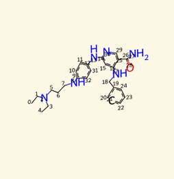 CCN(CC)CCCNc1ccc(Nc2cc(NCc3ccccc3)c(C(N)=O)cn2)cc1